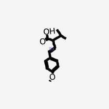 COc1ccc(/C=C/C(C(=O)O)C(C)C)cc1